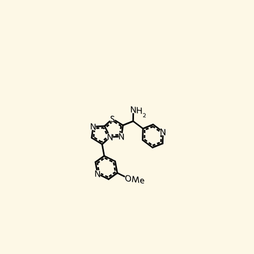 COc1cncc(-c2cnc3sc(C(N)c4cccnc4)nn23)c1